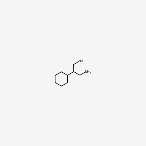 NCC(CN)C1CCCCC1